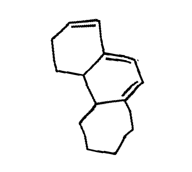 [C]1=C2C=CCCC2C2CCCCC2=C1